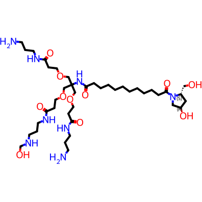 NCCCNC(=O)CCOCC(COCCC(=O)NCCCN)(COCCC(=O)NCCCNCO)NC(=O)CCCCCCCCCCC(=O)N1C[C@H](O)C[C@H]1CO